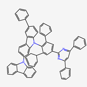 C1=CCC(c2cc(-c3nc(-c4ccccc4)cc(-c4ccccc4)n3)cc(-c3ccccc3)c2-n2c3ccc(-c4ccccc4)cc3c3ccc(-n4c5ccccc5c5ccccc54)cc32)C=C1